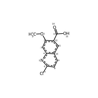 COc1cc2nc(Cl)ccc2cc1C(=O)O